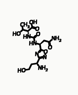 CC(O)[C@@H](NC(=O)N[C@@H](CC(N)=O)c1nc([C@@H](N)CCO)no1)C(=O)O